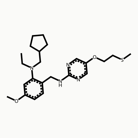 CCN(CC1CCCC1)c1cc(OC)ccc1CNc1ncc(OCCSC)cn1